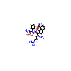 N=C(N)NCCCC(N)C(=O)c1ccc2cccc(C(N)=O)c2c1C(N)=O.NC(Cc1ccccc1)C(=O)O